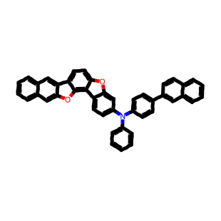 c1ccc(N(c2ccc(-c3ccc4ccccc4c3)cc2)c2ccc3c(c2)oc2ccc4c5cc6ccccc6cc5oc4c23)cc1